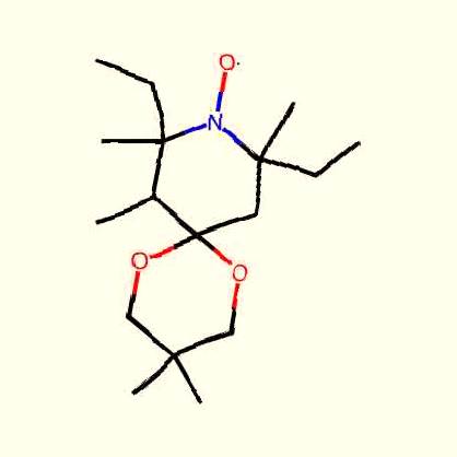 CCC1(C)CC2(OCC(C)(C)CO2)C(C)C(C)(CC)N1[O]